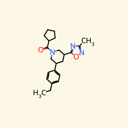 CCc1ccc(C2CC(c3nc(C)no3)CN(C(=O)C3CCCC3)C2)cc1